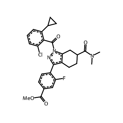 COC(=O)c1ccc(-c2nn(C(=O)c3c(Cl)cccc3C3CC3)c3c2CCC(C(=O)N(C)C)C3)c(F)c1